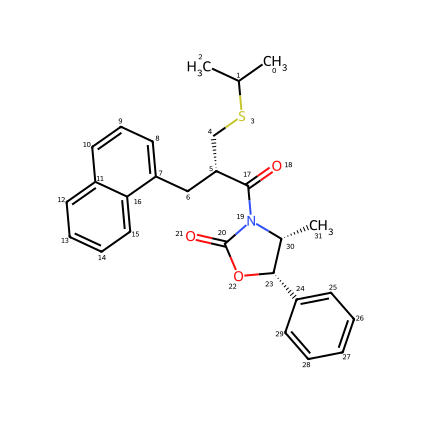 CC(C)SC[C@@H](Cc1cccc2ccccc12)C(=O)N1C(=O)O[C@@H](c2ccccc2)[C@H]1C